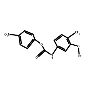 CCOc1cc(NC(=O)Oc2ccc([N+](=O)[O-])cc2)ccc1C(F)(F)F